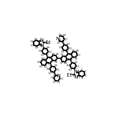 CCc1nc2ccccc2n1-c1ccc(-c2c3ccccc3c(-c3ccc(-c4cccnc4)cc3)c3cc(-c4ccc5c(-c6ccc(-n7c(CC)nc8ccccc87)cc6)c6ccccc6c(-c6ccc(-c7ccccn7)cc6)c5c4)ccc23)cc1